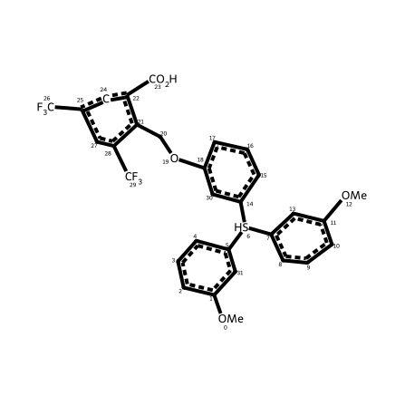 COc1cccc([SH](c2cccc(OC)c2)c2cccc(OCc3c(C(=O)O)cc(C(F)(F)F)cc3C(F)(F)F)c2)c1